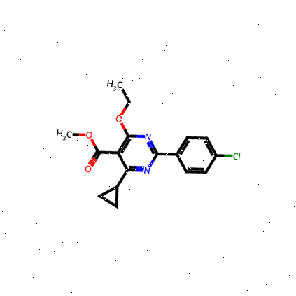 CCOc1nc(-c2ccc(Cl)cc2)nc(C2CC2)c1C(=O)OC